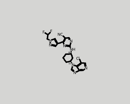 N#Cc1cnc(N[C@@H]2CCC[C@H](n3cnc4cncc(Cl)c43)C2)nc1-c1cnn(CC(F)F)c1